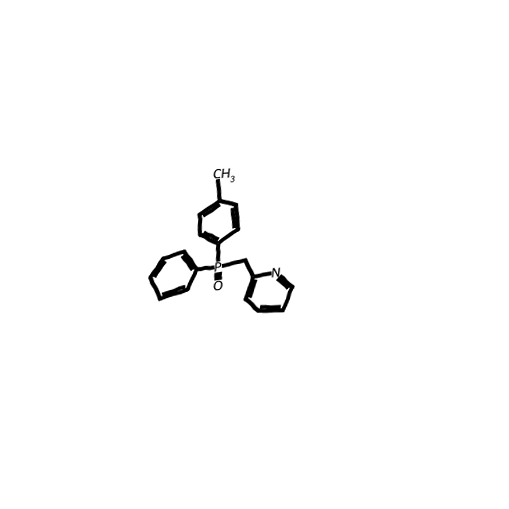 Cc1ccc(P(=O)(Cc2ccccn2)c2ccccc2)cc1